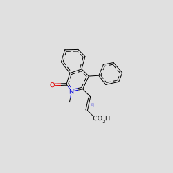 Cn1c(/C=C/C(=O)O)c(-c2ccccc2)c2ccccc2c1=O